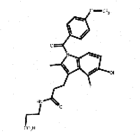 Cc1c(CCC(=O)NCCC(=O)O)c2c(F)c(O)ccc2n1C(=O)c1ccc(OC(F)(F)F)cc1